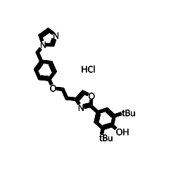 CC(C)(C)c1cc(-c2nc(CCOc3ccc(Cn4ccnc4)cc3)co2)cc(C(C)(C)C)c1O.Cl